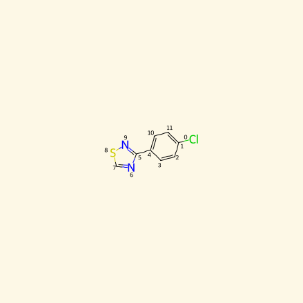 Clc1ccc(-c2ncsn2)cc1